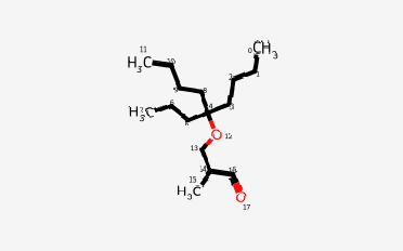 CCCCC(CCC)(CCCC)OCC(C)C=O